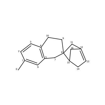 Cc1ccc2c(c1)CC1(CC2)CC2=CCC1C2